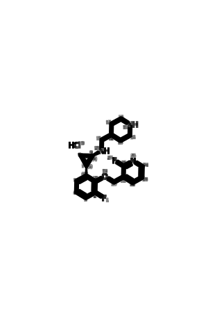 Cl.Fc1cccc([C@@H]2C[C@H]2NCC2CCNCC2)c1OCc1cccnc1F